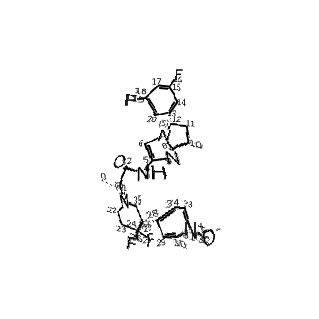 C[C@H](C(=O)Nc1cn2c(n1)CC[C@H]2c1cc(F)cc(F)c1)N1CCC(F)(F)[C@@H](c2cc[n+]([O-])cc2)C1